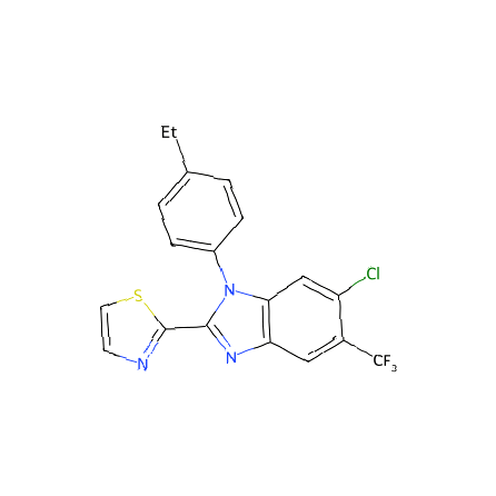 [CH2]Cc1ccc(-n2c(-c3nccs3)nc3cc(C(F)(F)F)c(Cl)cc32)cc1